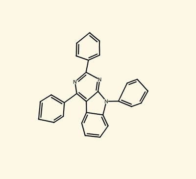 c1ccc(-c2nc(-c3ccccc3)c3c4ccccc4n(-c4ccccc4)c3n2)cc1